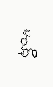 CN1CCCN(Cc2ccccc2)CC1CN1CCN(C(=O)OC(C)(C)C)CC1